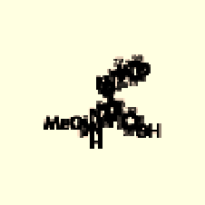 COC[C@H](C)Nc1ncc2c(-c3cnn(CC(C)(C)N4CCOCC4)c3)cc([C@H]3CC[C@H](O)CC3)n2n1